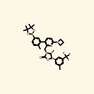 Cc1cc([C@H]2OC(=O)N(Cc3nc(N4CCC4)ccc3-c3cc(B4OC(C)(C)C(C)(C)O4)ccc3C)[C@H]2C)cc(C(F)(F)F)c1